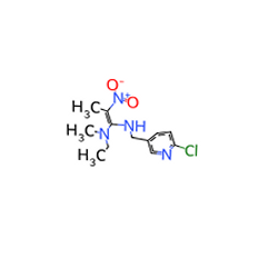 CCN(C)C(NCc1ccc(Cl)nc1)=C(C)[N+](=O)[O-]